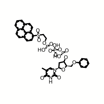 Cc1cn([C@H]2CC(OP(=O)(O)OP(=O)(O)OP(=O)(O)OCCS(=O)(=O)c3ccc4ccc5cccc6ccc3c4c56)[C@@H](COc3ccccc3)O2)c(=O)[nH]c1=O